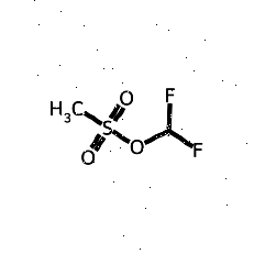 CS(=O)(=O)O[C](F)F